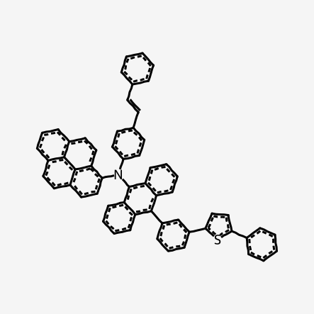 C(=C\c1ccc(N(c2c3ccccc3c(-c3cccc(-c4ccc(-c5ccccc5)s4)c3)c3ccccc23)c2ccc3ccc4cccc5ccc2c3c45)cc1)/c1ccccc1